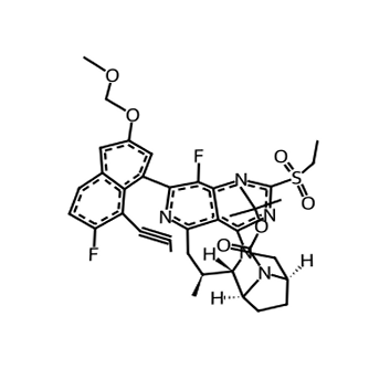 CC#Cc1c(F)ccc2cc(OCOC)cc(-c3nc4c5c(nc(S(=O)(=O)CC)nc5c3F)N3C[C@H]5CC[C@@H]([C@@H]3[C@@H](C)C4)N5C(=O)OC(C)(C)C)c12